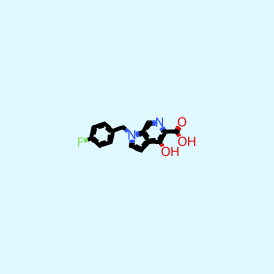 O=C(O)c1ncc2c(ccn2Cc2ccc(F)cc2)c1O